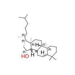 CC(C)CCC[C@@H](C)[C@H]1C[C@@H](O)[C@H]2[C@@H]3CC=C4C(C)(C)CCC[C@]4(C)[C@H]3CC[C@@]21C